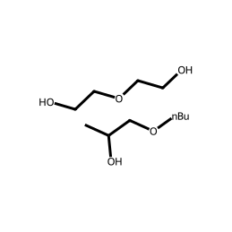 CCCCOCC(C)O.OCCOCCO